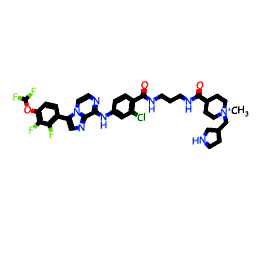 C[N+]1(CC2CCNC2)CCC(C(=O)NCCCNC(=O)c2ccc(Nc3nccn4c(-c5ccc(OC(F)F)c(F)c5F)cnc34)cc2Cl)CC1